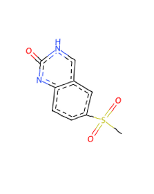 CS(=O)(=O)c1ccc2nc(=O)[nH]cc2c1